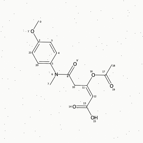 COc1ccc(N(C)C(=O)CC(=CC(=O)O)OC(C)=O)cc1